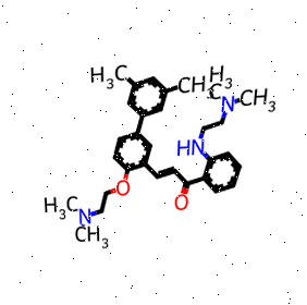 Cc1cc(C)cc(-c2ccc(OCCN(C)C)c(C=CC(=O)c3ccccc3NCCN(C)C)c2)c1